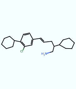 NCC(CC=Cc1ccc(C2CCCCC2)c(Cl)c1)C1CCCCC1